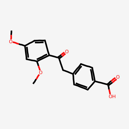 COc1ccc(C(=O)Cc2ccc(C(=O)O)cc2)c(OC)c1